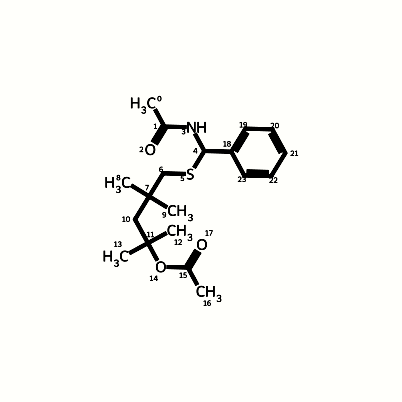 CC(=O)NC(SCC(C)(C)CC(C)(C)OC(C)=O)c1ccccc1